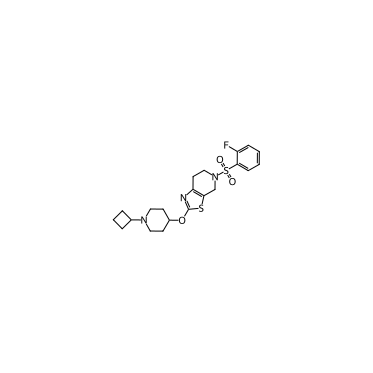 O=S(=O)(c1ccccc1F)N1CCc2nc(OC3CCN(C4CCC4)CC3)sc2C1